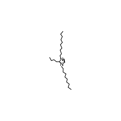 CCCCCCCCCCN1C=CN(CCCCCCCCCC)C1CCCC